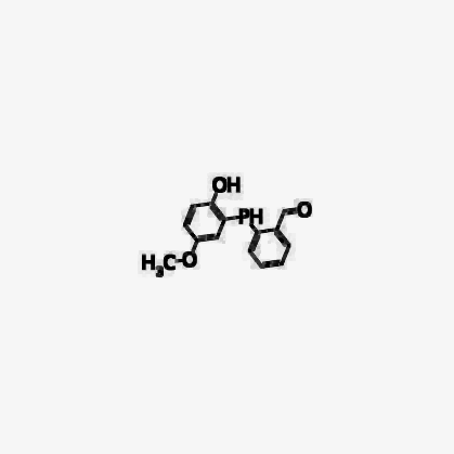 COc1ccc(O)c(Pc2ccccc2C=O)c1